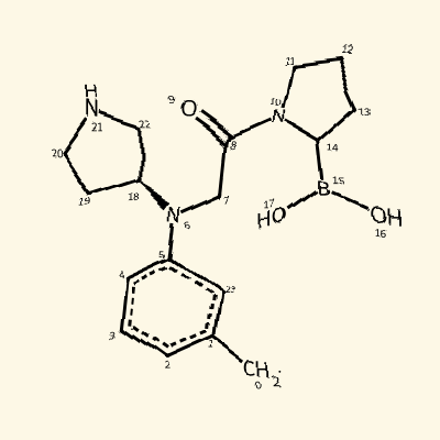 [CH2]c1cccc(N(CC(=O)N2CCCC2B(O)O)[C@H]2CCNC2)c1